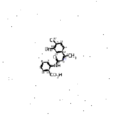 C/C(=C/C(=O)Nc1ccccc1C(=O)O)c1ccc(Cl)c(Br)c1